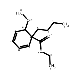 CCCCC1(C(=O)OCC)C=CC=CC1OC